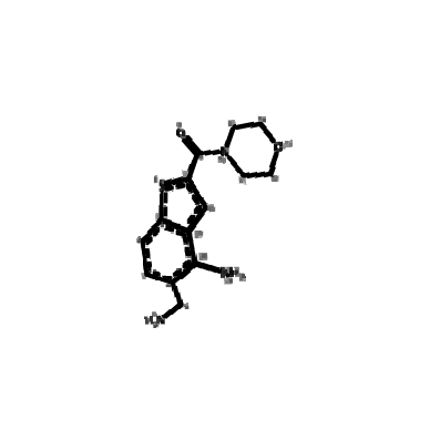 NCc1ccc2sc(C(=O)N3CCOCC3)cc2c1N